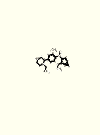 C.CCN1CCNCC1c1ccc([S+]([O-])c2cc3cc-3c2OC)cc1